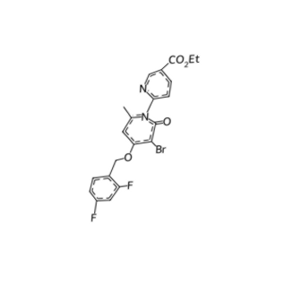 CCOC(=O)c1ccc(-n2c(C)cc(OCc3ccc(F)cc3F)c(Br)c2=O)nc1